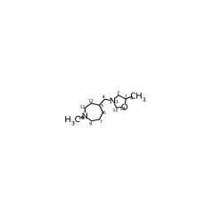 CC1CN(CC2CCCN(C)CC2)CO1